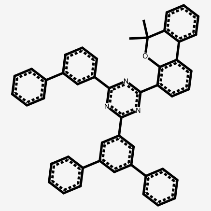 CC1(C)Oc2c(-c3nc(-c4cccc(-c5ccccc5)c4)nc(-c4cc(-c5ccccc5)cc(-c5ccccc5)c4)n3)cccc2-c2ccccc21